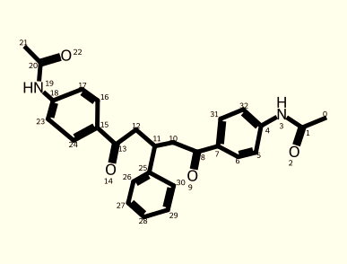 CC(=O)Nc1ccc(C(=O)CC(CC(=O)c2ccc(NC(C)=O)cc2)c2ccccc2)cc1